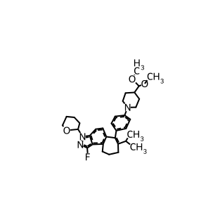 COC(OC)C1CCN(c2ccc(C3=C(C(C)C)CCCc4c3ccc3c4c(F)nn3C3CCCCO3)cc2)CC1